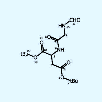 CC(C)(C)OC(=O)CC(NC(=O)CN[C]=O)C(=O)OC(C)(C)C